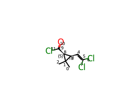 CC1(C)[C@H](C=C(Cl)Cl)[C@@H]1C(=O)Cl